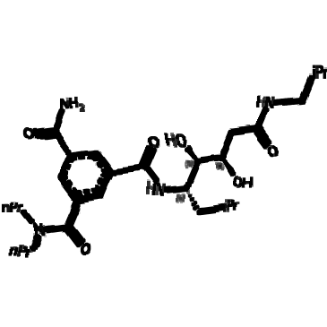 CCCN(CCC)C(=O)c1cc(C(N)=O)cc(C(=O)N[C@@H](CC(C)C)[C@@H](O)[C@H](O)CC(=O)NCC(C)C)c1